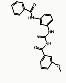 COc1cccc(C(=O)NC(=S)Nc2cccc(NC(=O)c3ccccc3)c2)c1